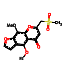 CCOc1c2ccoc2c(OC)c2oc(CS(C)(=O)=O)cc(=O)c12